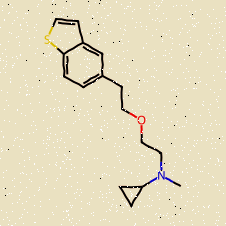 CN(CCOCCc1ccc2sccc2c1)C1CC1